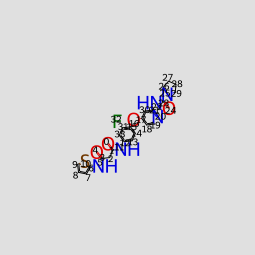 O=C(CC(=O)Nc1cccs1)Nc1ccc(Oc2ccnc(NC(=O)N3CCCC3)c2)c(F)c1